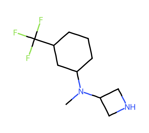 CN(C1CNC1)C1CCCC(C(F)(F)F)C1